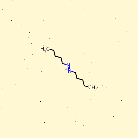 CCCC[CH]/N=N/CCCCC